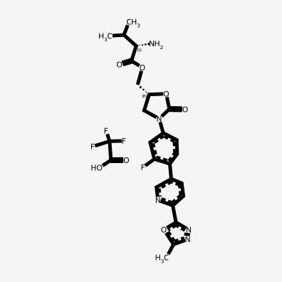 Cc1nnc(-c2ccc(-c3ccc(N4C[C@H](COC(=O)[C@@H](N)C(C)C)OC4=O)cc3F)cn2)o1.O=C(O)C(F)(F)F